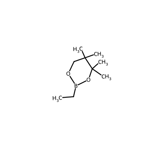 CCB1OCC(C)(C)C(C)(C)O1